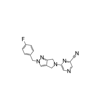 N#Cc1cncc(N2Cc3cn(Cc4ccc(F)cc4)nc3C2)n1